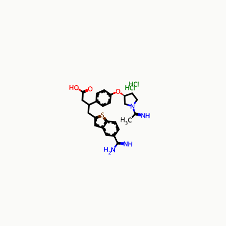 CC(=N)N1CC[C@H](Oc2ccc(C(CC(=O)O)Cc3cc4cc(C(=N)N)ccc4s3)cc2)C1.Cl.Cl